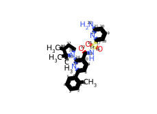 Cc1ccccc1-c1ccc(C(=O)NS(=O)(=O)c2cccc(N)n2)c(N2CCC(C)C2(C)C)n1